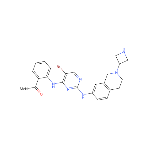 CNC(=O)c1ccccc1Nc1nc(Nc2ccc3c(c2)CN(C2CNC2)CC3)ncc1Br